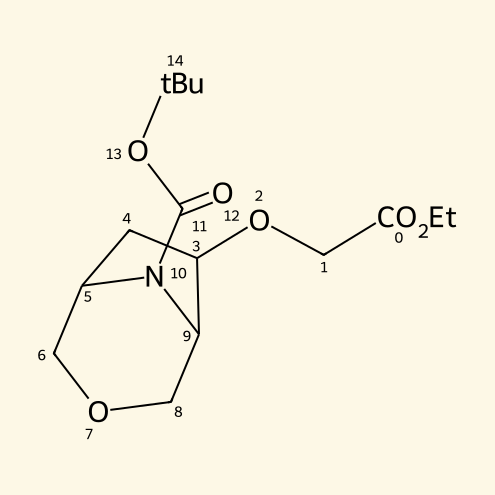 CCOC(=O)COC1CC2COCC1N2C(=O)OC(C)(C)C